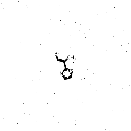 CC(=CBr)c1nccs1